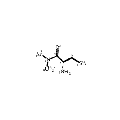 [CH2]N(C(C)=O)C(=O)[C@@H](N)CS